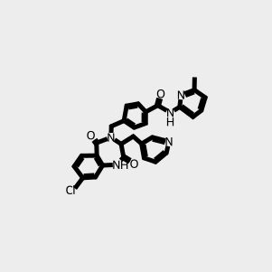 Cc1cccc(NC(=O)c2ccc(CN3C(=O)c4ccc(Cl)cc4NC(=O)C3Cc3cccnc3)cc2)n1